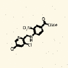 COC(=O)c1ccc(NCc2ncc(Cl)cc2Cl)c([N+](=O)[O-])c1